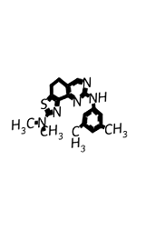 Cc1cc(C)cc(Nc2ncc3c(n2)-c2nc(N(C)C)sc2CC3)c1